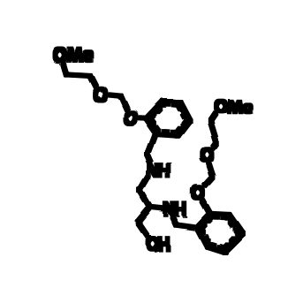 COCCOCOc1ccccc1CNCC(CO)NCc1ccccc1OCOCCOC